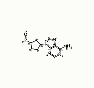 Nc1ncnc2c1ncn2C1CCC(P=O)C1